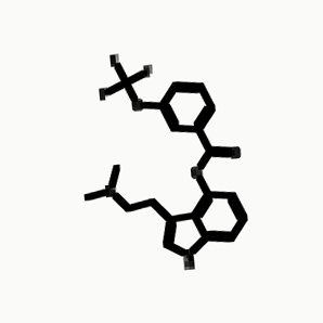 CN(C)CCc1c[nH]c2cccc(OC(=O)c3cccc(OC(F)(F)F)c3)c12